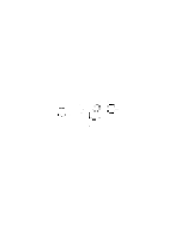 CCCN(CCCc1ccccc1)c1c2c(nc3c(-c4ccc(OC)cc4C)c(C)nn13)CCC2